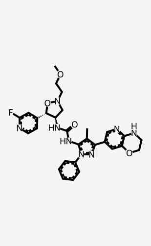 COCCN1C[C@@H](NC(=O)Nc2c(C)c(-c3cnc4c(c3)OCCN4)nn2-c2ccccc2)[C@H](c2ccnc(F)c2)O1